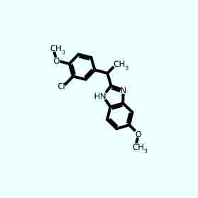 COc1ccc2[nH]c(C(C)c3ccc(OC)c(Cl)c3)nc2c1